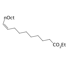 C[CH]OC(=O)CCCCCCC/C=C\CCCCCCCC